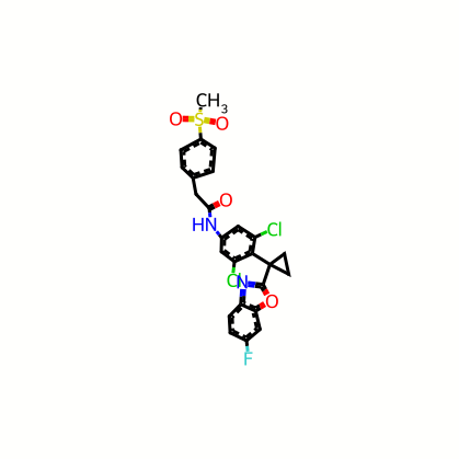 CS(=O)(=O)c1ccc(CC(=O)Nc2cc(Cl)c(C3(c4nc5ccc(F)cc5o4)CC3)c(Cl)c2)cc1